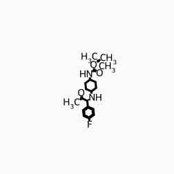 CC(=O)[C@@H](NC1CCC(NC(=O)OC(C)(C)C)CC1)c1ccc(F)cc1